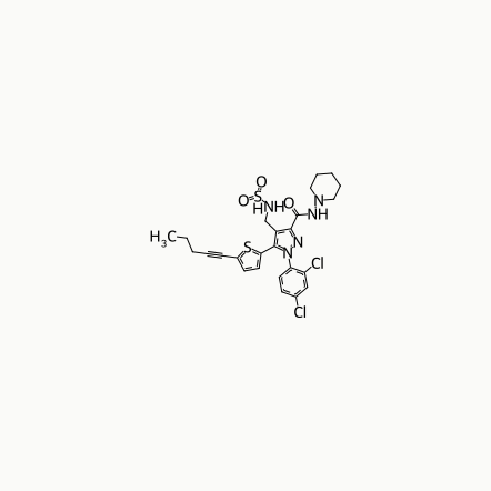 CCCC#Cc1ccc(-c2c(CN[SH](=O)=O)c(C(=O)NN3CCCCC3)nn2-c2ccc(Cl)cc2Cl)s1